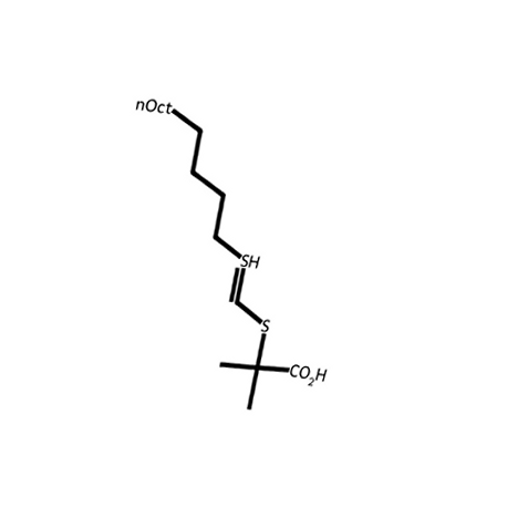 CCCCCCCCCCCC[SH]=CSC(C)(C)C(=O)O